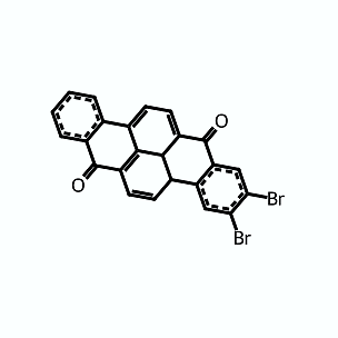 O=C1C2=C3C(=CC=C4C(=O)c5cc(Br)c(Br)cc5C(C=C2)C43)c2ccccc21